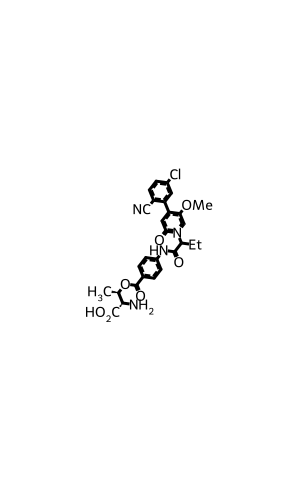 CCC(C(=O)Nc1ccc(C(=O)O[C@H](C)[C@H](N)C(=O)O)cc1)n1cc(OC)c(-c2cc(Cl)ccc2C#N)cc1=O